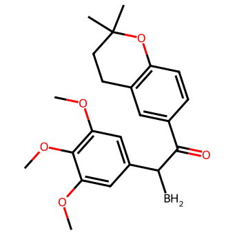 BC(C(=O)c1ccc2c(c1)CCC(C)(C)O2)c1cc(OC)c(OC)c(OC)c1